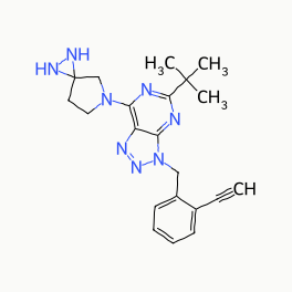 C#Cc1ccccc1Cn1nnc2c(N3CCC4(C3)NN4)nc(C(C)(C)C)nc21